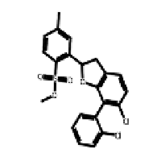 COS(=O)(=O)c1ccc(C)cc1C1Cc2ccc(Cl)c(-c3ccccc3Cl)c2O1